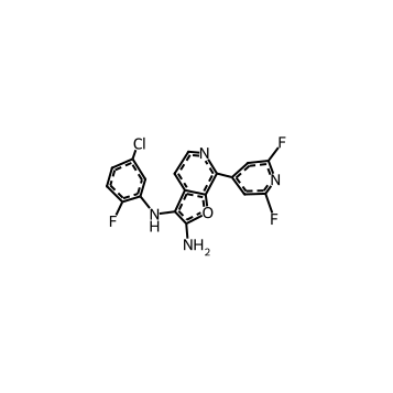 Nc1oc2c(-c3cc(F)nc(F)c3)nccc2c1Nc1cc(Cl)ccc1F